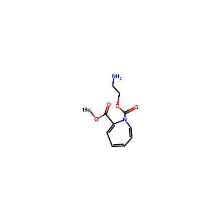 CC(C)(C)OC(=O)C1=CC=CC=CN1C(=O)OCCN